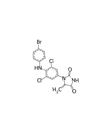 C=C1C(=O)NC(=O)N1c1cc(Cl)c(Nc2ccc(Br)cc2)c(Cl)c1